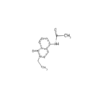 CCn1ccc2c(NC(C)=O)cccc2c1=O